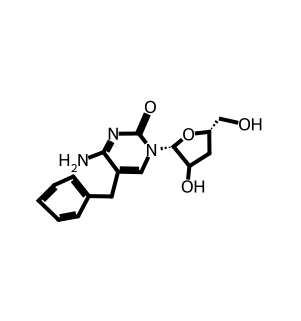 Nc1nc(=O)n([C@@H]2O[C@H](CO)CC2O)cc1Cc1ccccc1